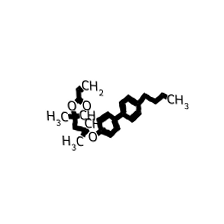 C=CC(=O)OC(C)(C)CC(C)(C)Oc1ccc(-c2ccc(CCCC)cc2)cc1